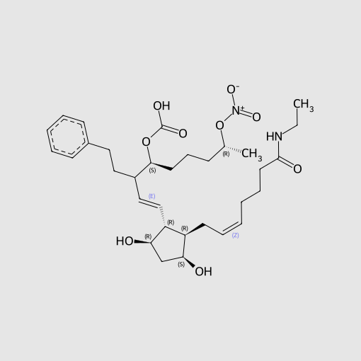 CCNC(=O)CCC/C=C\C[C@@H]1[C@@H](/C=C/C(CCc2ccccc2)[C@H](CCC[C@@H](C)O[N+](=O)[O-])OC(=O)O)[C@H](O)C[C@@H]1O